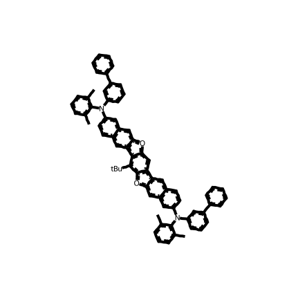 Cc1cccc(C)c1N(c1cccc(-c2ccccc2)c1)c1ccc2cc3c(cc2c1)oc1c(C(C)(C)C)c2c(cc13)oc1cc3cc(N(c4cccc(-c5ccccc5)c4)c4c(C)cccc4C)ccc3cc12